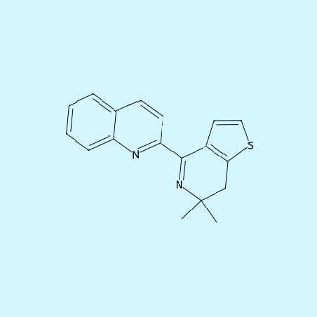 CC1(C)Cc2sccc2C(c2ccc3ccccc3n2)=N1